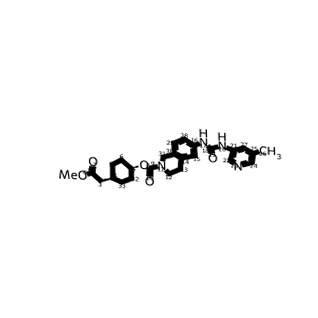 COC(=O)C[C@H]1CC[C@H](OC(=O)N2CCc3cc(NC(=O)Nc4cncc(C)c4)ccc3C2)CC1